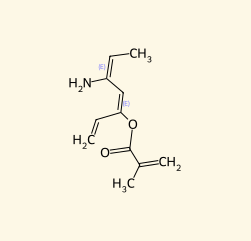 C=C/C(=C\C(N)=C/C)OC(=O)C(=C)C